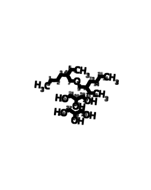 CCCCC(CC)COCC(CC)CCCC.OCC(O)CO.OCC(O)CO